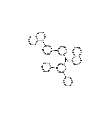 c1ccc(-c2cc(-c3ccccc3)cc(N(c3cccc(-c4cccc(-c5cccc6ccccc56)c4)c3)c3cccc4ccccc34)c2)cc1